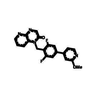 COc1cc(-c2cc(F)c(Cn3c(=O)cnc4ncccc43)c(F)c2)ccn1